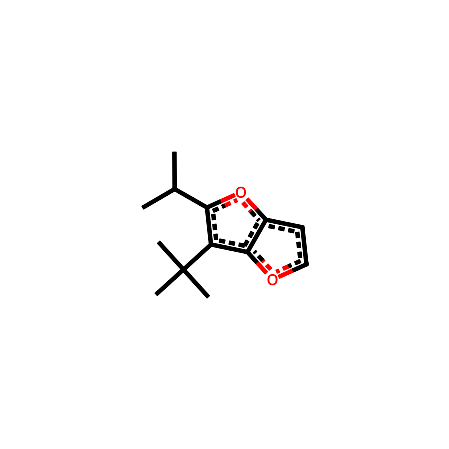 CC(C)c1oc2ccoc2c1C(C)(C)C